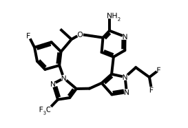 CC1Oc2cc(cnc2N)-c2c(cnn2CC(F)F)Cc2cc(C(F)(F)F)nn2-c2ccc(F)cc21